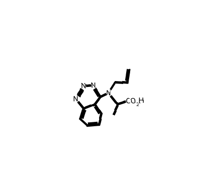 C=CCN(c1nnnc2ccccc12)C(C)C(=O)O